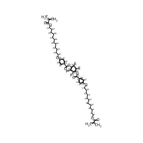 C=C(C)C(=O)OCCCCCCCCCCCCOc1ccc(C(=O)Oc2c(F)c(F)c(OC(=O)c3ccc(OCCCCCCCCCCCCOC(=O)C(=C)C)cc3)c(F)c2F)cc1